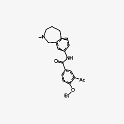 CCOc1ccc(C(=O)Nc2ccc3c(c2)CN(C)CCC3)cc1C(C)=O